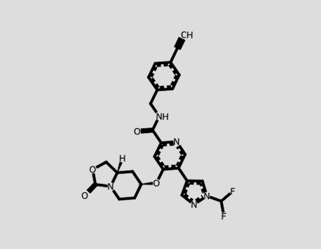 C#Cc1ccc(CNC(=O)c2cc(O[C@H]3CCN4C(=O)OC[C@@H]4C3)c(-c3cnn(C(F)F)c3)cn2)cc1